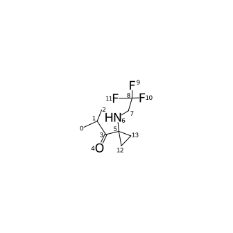 CC(C)C(=O)C1(NCC(F)(F)F)CC1